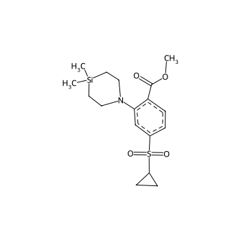 COC(=O)c1ccc(S(=O)(=O)C2CC2)cc1N1CC[Si](C)(C)CC1